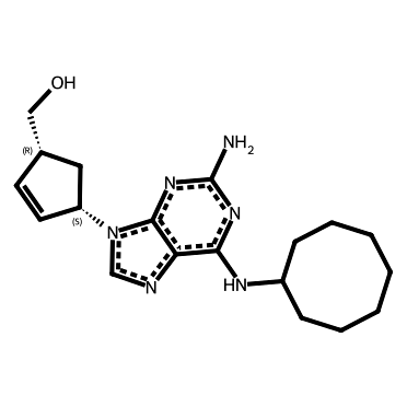 Nc1nc(NC2CCCCCCC2)c2ncn([C@@H]3C=C[C@H](CO)C3)c2n1